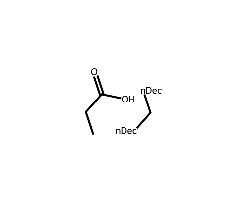 CCC(=O)O.CCCCCCCCCCCCCCCCCCCCC